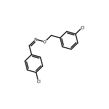 Clc1ccc(/[C]=N\OCc2cccc(Cl)c2)cc1